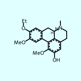 CCOc1cc2c(cc1OC)-c1c(OC)c(O)cc3c1[C@@H](C2)N(C)CC3